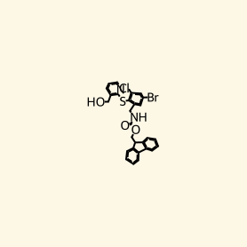 O=C(NCc1cc(Br)cc(Cl)c1Sc1ncccc1CO)OCC1c2ccccc2-c2ccccc21